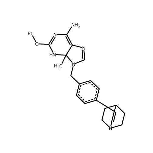 CCOC1=NC(N)=C2N=CN(Cc3ccc(C4=CN5CCC4CC5)cc3)C2(C)N1